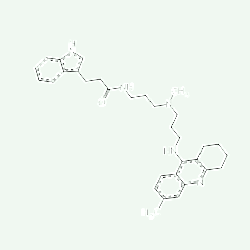 Cc1ccc2c(NCCCN(C)CCCNC(=O)CCc3c[nH]c4ccccc34)c3c(nc2c1)CCCC3